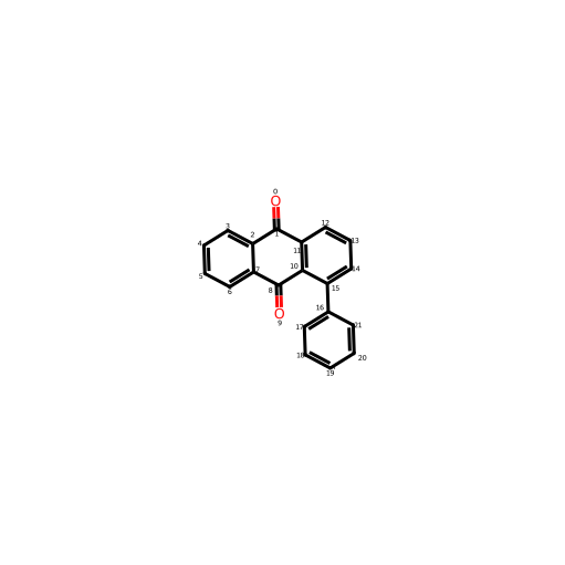 O=C1c2ccccc2C(=O)c2c1cccc2-c1cc[c]cc1